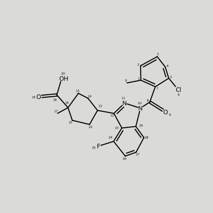 Cc1cccc(Cl)c1C(=O)n1nc(C2CCC(C)(C(=O)O)CC2)c2c(F)cccc21